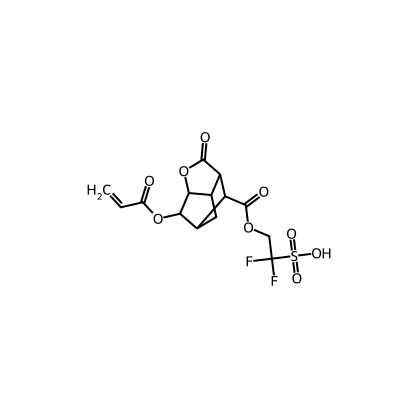 C=CC(=O)OC1C2CC3C1OC(=O)C3C2C(=O)OCC(F)(F)S(=O)(=O)O